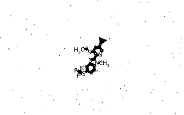 CCSc1cc(C2CC2)cnc1-c1nc2cc(SC(F)(F)F)ccc2n1C